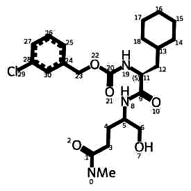 CNC(=O)CCC(CO)NC(=O)[C@H](CC1CCCCC1)NC(=O)OCc1cccc(Cl)c1